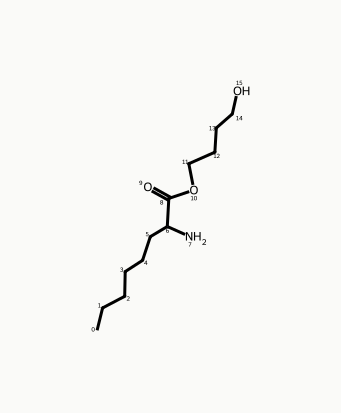 CCCCCCC(N)C(=O)OCCCCO